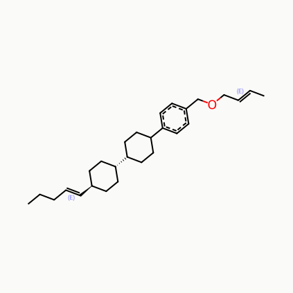 C/C=C/COCc1ccc(C2CCC([C@H]3CC[C@H](/C=C/CCC)CC3)CC2)cc1